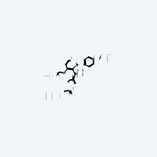 C=CC(=O)N1CC(c2nn(-c3ccc(OC(F)(F)F)cc3)c3nccc(C(O)CO)c23)C1